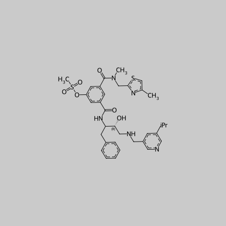 Cc1csc(CN(C)C(=O)c2cc(OS(C)(=O)=O)cc(C(=O)NC(Cc3ccccc3)[C@H](O)CNCc3cncc(C(C)C)c3)c2)n1